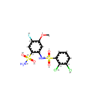 COc1cc(NS(=O)(=O)c2cccc(Cl)c2Cl)c(S(N)(=O)=O)cc1F